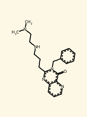 CN(C)CCNCCCc1nc2cccnc2c(=O)n1Cc1ccccc1